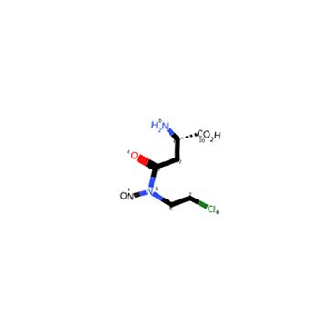 N[C@@H](CC(=O)N(CCCl)N=O)C(=O)O